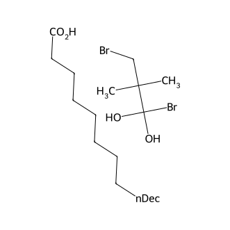 CC(C)(CBr)C(O)(O)Br.CCCCCCCCCCCCCCCCCC(=O)O